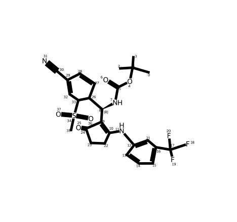 CC(C)(C)OC(=O)N[C@@H](C1=C(Nc2cccc(C(F)(F)F)c2)CCC1=O)C1C=CC(C#N)=CC1S(C)(=O)=O